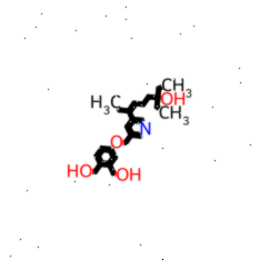 CC/C(=C/CCC(O)(CC)CC)c1cncc(COc2ccc(CO)c(CO)c2)c1